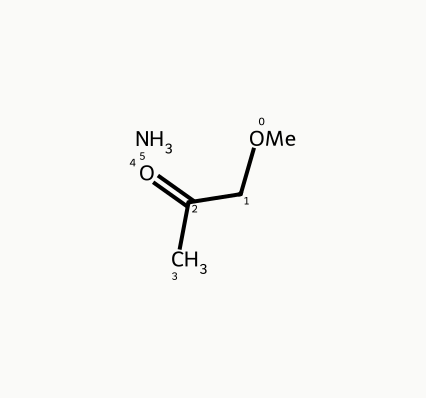 COCC(C)=O.N